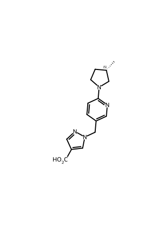 C[C@H]1CCN(c2ccc(Cn3cc(C(=O)O)cn3)cn2)C1